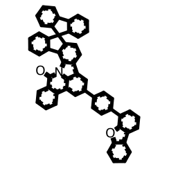 O=c1c2ccccc2c2cc(-c3ccc(-c4cccc5c4oc4ccccc45)cc3)cc3c4ccc5c(c4n1c23)-c1ccccc1C51c2ccccc2-c2ccccc21